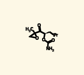 CC(C)C[C@H](OC(N)=O)C(=O)[C@@]1(C)CO1